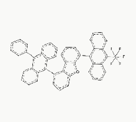 FS(F)(F)(F)(F)c1c2ccccc2c(-c2cccc3c2oc2cccc(-c4c5ccccc5c(-c5ccccc5)c5ccccc45)c23)c2ccccc12